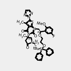 COc1ccc(F)cc1[C@H](Cn1c(=O)n([C@@]2(C)CC(=O)N(C)C2)c(=O)c2c(C)c(-n3nccn3)sc21)OCCO[Si](c1ccccc1)(c1ccccc1)C(C)(C)C